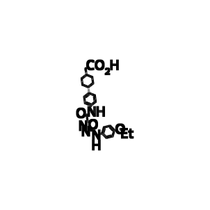 CCOc1ccc(Nc2nnc(C(=O)Nc3ccc([C@H]4CC[C@H](CC(=O)O)CC4)cc3)o2)cc1